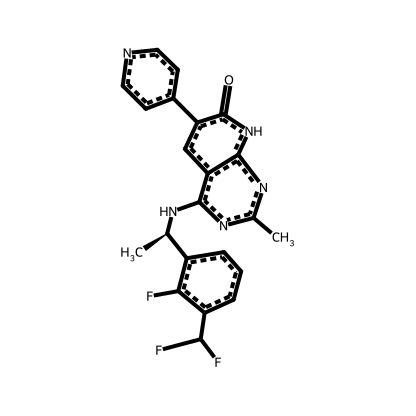 Cc1nc(N[C@H](C)c2cccc(C(F)F)c2F)c2cc(-c3ccncc3)c(=O)[nH]c2n1